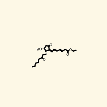 CCCCCC(=O)CC[C@@H]1C(=CC=CC=CCC(=O)OCC)C(=O)C[C@H]1O